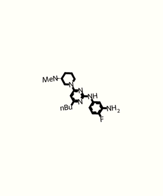 CCCCc1cc(N2CCC[C@@H](NC)C2)nc(Nc2ccc(F)c(N)c2)n1